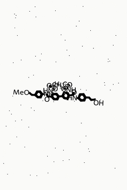 COCCc1ccc(NC(=O)c2ccc(-c3ccc(C(=O)Nc4ccc(CCCO)cc4)c(NS(C)(=O)=O)c3)cc2NS(C)(=O)=O)cc1